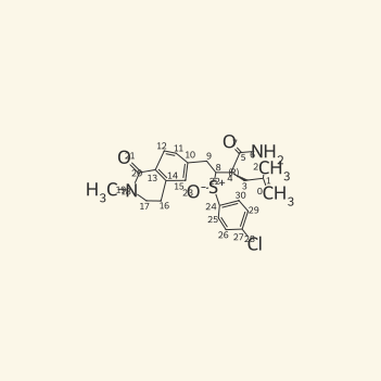 CC(C)C[C@H](C(N)=O)C(Cc1ccc2c(c1)CCN(C)C2=O)[S+]([O-])c1ccc(Cl)cc1